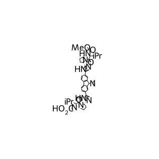 COC(=O)N[C@H](C(=O)N1CCC[C@H]1c1ncc(-c2ccc3c(c2)C(N(C)C)c2cc(-c4cnc([C@@H]5CCCN5C(=O)[C@H](C(C)C)N(C)C(=O)O)[nH]4)ccc2-3)[nH]1)C(C)C